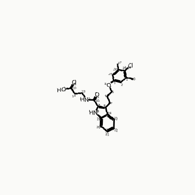 Cc1cc(OCCCc2c(C(=O)NCCC(=O)O)[nH]c3ccccc23)cc(C)c1Cl